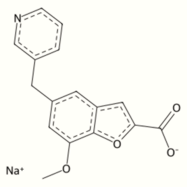 COc1cc(Cc2cccnc2)cc2cc(C(=O)[O-])oc12.[Na+]